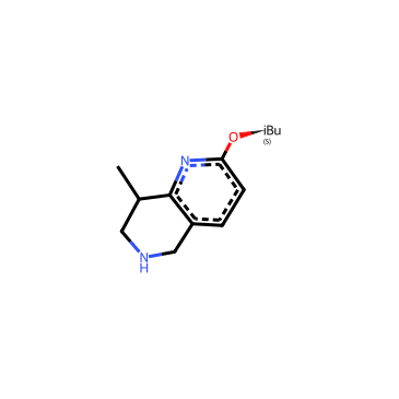 CC[C@H](C)Oc1ccc2c(n1)C(C)CNC2